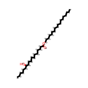 CCCCCCCCCCCCCCCCCCOC(=O)CCCCCCCCCCC(O)CCCCCC